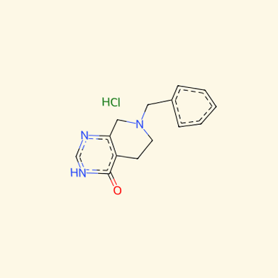 Cl.O=c1[nH]cnc2c1CCN(Cc1ccccc1)C2